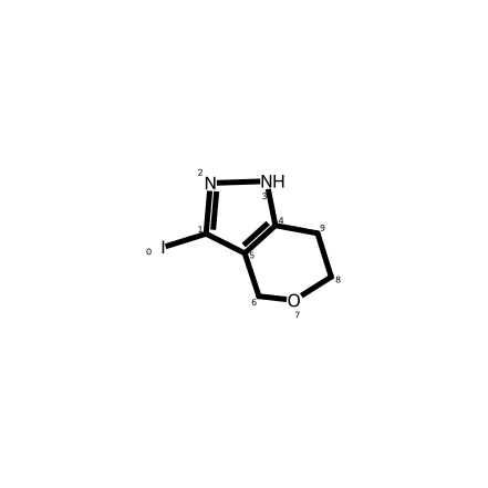 Ic1n[nH]c2c1COCC2